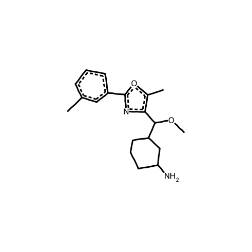 COC(c1nc(-c2cccc(C)c2)oc1C)C1CCCC(N)C1